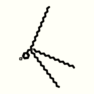 CCCCCCCCCCCCCCCCCC[N+](CCCCCCCCCCCCCCCCCC)(CCCCCCCCCCCCCCCCCC)Cc1ccccc1.[Cl-]